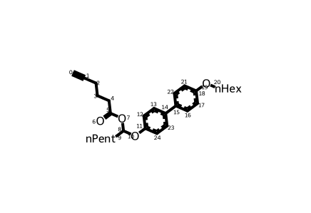 C#CCCCC(=O)OC(CCCCC)Oc1ccc(-c2ccc(OCCCCCC)cc2)cc1